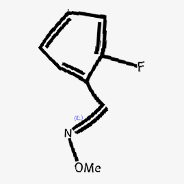 CO/N=C/c1cc[c]cc1F